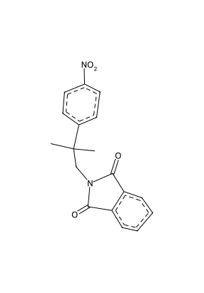 CC(C)(CN1C(=O)c2ccccc2C1=O)c1ccc([N+](=O)[O-])cc1